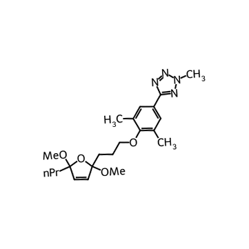 CCCC1(OC)C=CC(CCCOc2c(C)cc(-c3nnn(C)n3)cc2C)(OC)O1